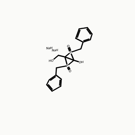 O=P1(Cc2ccccc2)C2(O)C1(CO)P2(=O)Cc1ccccc1.[NaH].[NaH]